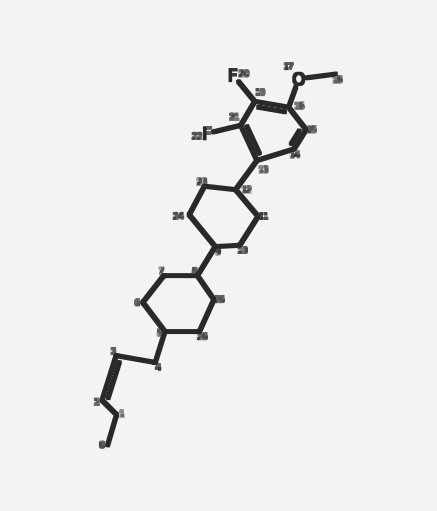 CC/C=C\CC1CCC(C2CCC(c3ccc(OC)c(F)c3F)CC2)CC1